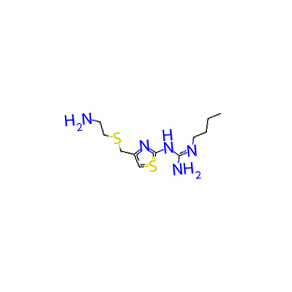 CCCC/N=C(/N)Nc1nc(CSCCN)cs1